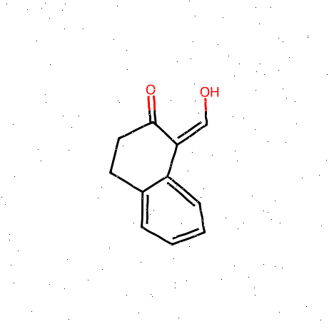 O=C1CCc2ccccc2C1=CO